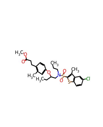 CCCN(CC(CC)Oc1ccc(CCC(=O)OC)c(C)c1)S(=O)(=O)c1sc2ccc(Cl)cc2c1C